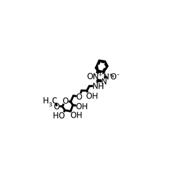 COC1OC(COCC(O)CNc2n[n+]([O-])c3ccccc3[n+]2[O-])C(O)[C@H](O)C1O